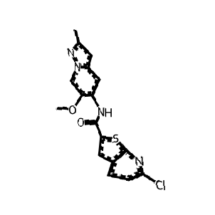 COc1cn2nc(C)cc2cc1NC(=O)c1cc2ccc(Cl)nc2s1